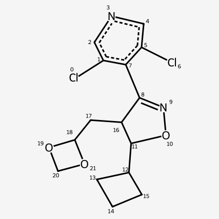 Clc1cncc(Cl)c1C1=NOC(C2CCC2)C1CC1OCO1